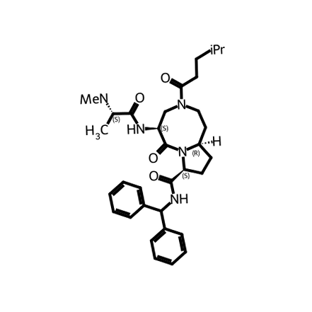 CN[C@@H](C)C(=O)N[C@H]1CN(C(=O)CCC(C)C)CC[C@H]2CC[C@@H](C(=O)NC(c3ccccc3)c3ccccc3)N2C1=O